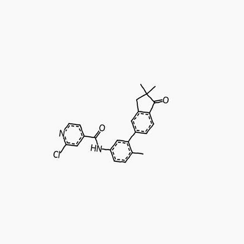 Cc1ccc(NC(=O)c2ccnc(Cl)c2)cc1-c1ccc2c(c1)CC(C)(C)C2=O